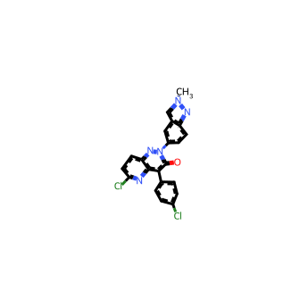 Cn1cc2cc(-n3nc4ccc(Cl)nc4c(-c4ccc(Cl)cc4)c3=O)ccc2n1